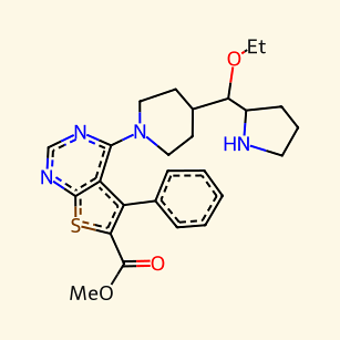 CCOC(C1CCN(c2ncnc3sc(C(=O)OC)c(-c4ccccc4)c23)CC1)C1CCCN1